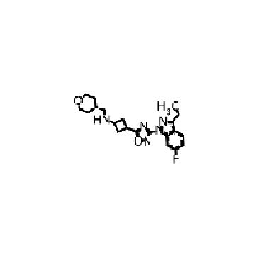 CCc1nn(-c2noc(C3CC(NCC4CCOCC4)C3)n2)c2cc(F)ccc12